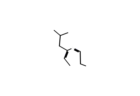 C/C=C(CC(C)C)\N=C/CC